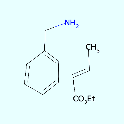 CC=CC(=O)OCC.NCc1ccccc1